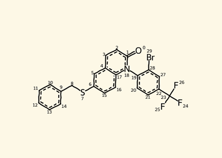 O=c1ccc2cc(SCc3ccccc3)ccc2n1-c1ccc(C(F)(F)F)cc1Br